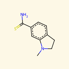 CN1CCc2ccc(C(N)=S)cc21